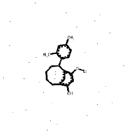 CCOc1cc(O)c2cc1C(c1ccc(C)cc1C)CCCC2